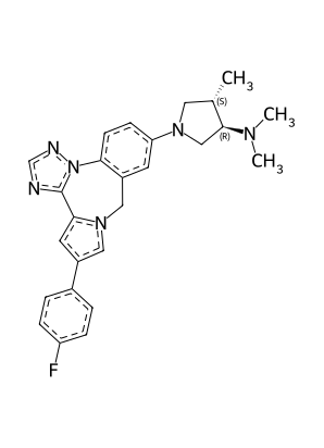 C[C@H]1CN(c2ccc3c(c2)Cn2cc(-c4ccc(F)cc4)cc2-c2ncnn2-3)C[C@@H]1N(C)C